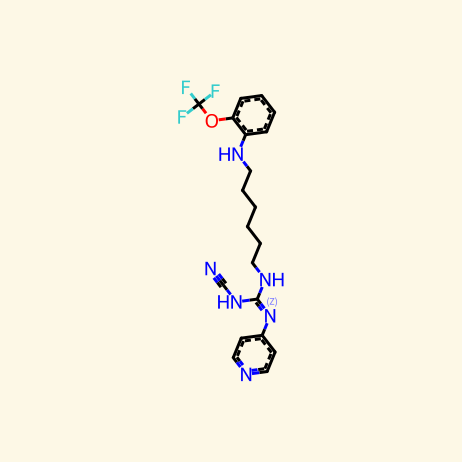 N#CN/C(=N\c1ccncc1)NCCCCCCNc1ccccc1OC(F)(F)F